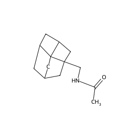 CC(=O)NCC12CC3CC4CC(C1)C42C3